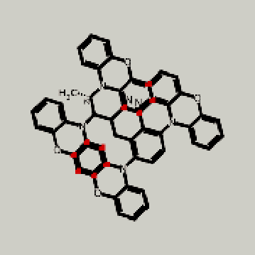 C[C@@H](C(C(C#N)Cc1c(N2c3ccccc3Oc3ccccc32)ccc(N2c3ccccc3Oc3ccccc32)c1C#N)N1c2ccccc2Oc2ccccc21)N1c2ccccc2Oc2ccccc21